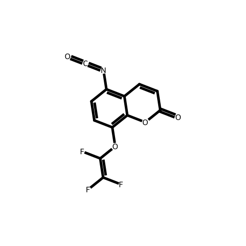 O=C=Nc1ccc(OC(F)=C(F)F)c2oc(=O)ccc12